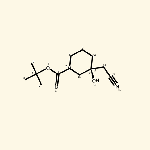 CC(C)(C)OC(=O)N1CCC[C@](O)(CC#N)C1